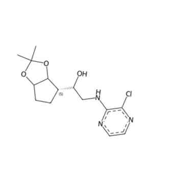 CC1(C)OC2CC[C@@H](C(O)CNc3nccnc3Cl)C2O1